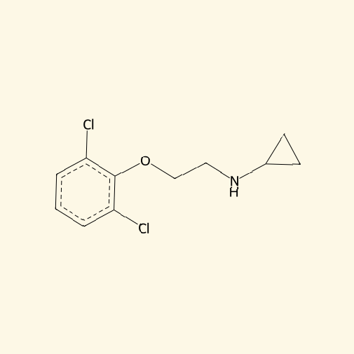 Clc1cccc(Cl)c1OCCNC1CC1